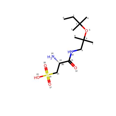 CCC(C)(C)OC(C)(C)CNC(=O)[C@@H](N)CS(=O)(=O)O